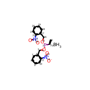 B.C=CP(OCc1ccccc1[N+](=O)[O-])OCc1ccccc1[N+](=O)[O-]